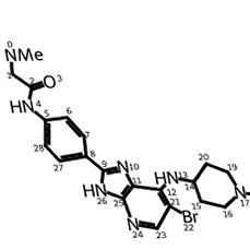 CNCC(=O)Nc1ccc(-c2nc3c(NC4CCN(C)CC4)c(Br)cnc3[nH]2)cc1